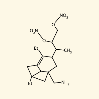 CCC1=C2CC3(CC)CC(CN)(CC1C(C)C(CO[N+](=O)[O-])O[N+](=O)[O-])C23